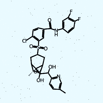 Cc1ccc(C(O)C(O)[C@@]2(O)C3CC(S(=O)(=O)c4cc(C(=O)Nc5ccc(F)c(F)c5)ccc4Cl)CC2[C@@H](C)C3)nc1